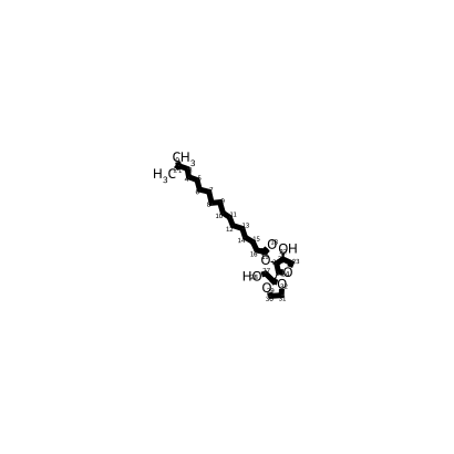 CC(C)CCCCCCCCCCCCCCC(=O)O[C@@H]1[C@@H](O)CO[C@@H]1C1(CO)OCCO1